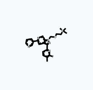 Cc1ccc(-c2nn(COCC[Si](C)(C)C)c3cnc(-c4cccnc4)cc23)nc1F